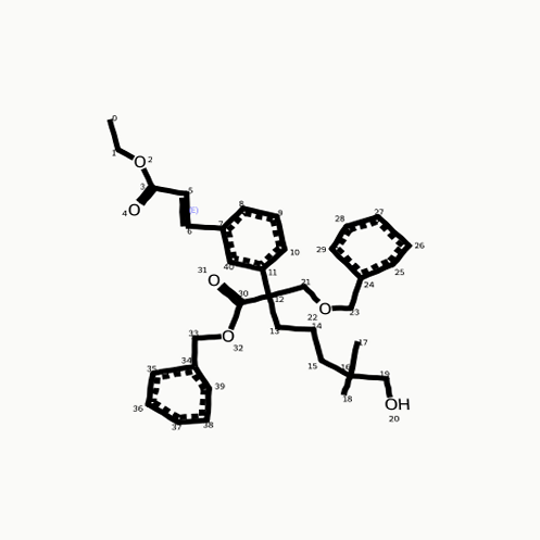 CCOC(=O)/C=C/c1cccc(C(CCCC(C)(C)CO)(COCc2ccccc2)C(=O)OCc2ccccc2)c1